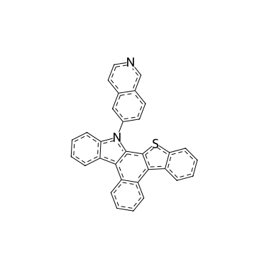 c1ccc2c(c1)sc1c2c2ccccc2c2c3ccccc3n(-c3ccc4cnccc4c3)c12